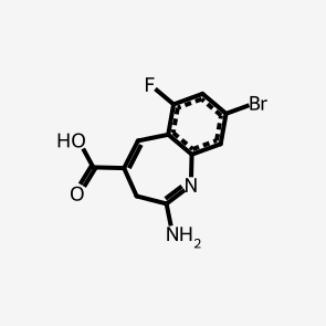 NC1=Nc2cc(Br)cc(F)c2C=C(C(=O)O)C1